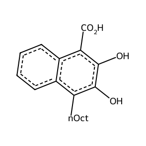 CCCCCCCCc1c(O)c(O)c(C(=O)O)c2ccccc12